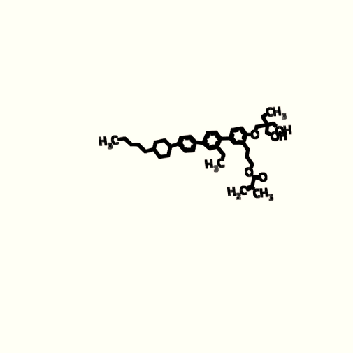 C=C(C)C(=O)OCCCc1cc(-c2ccc(-c3ccc(C4CCC(CCCCC)CC4)cc3)cc2CC)ccc1OCC(CC)(CO)CO